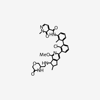 COc1nc(-c2cccc(-c3cccc(NC(=O)c4ccnn(C)c4=O)c3C)c2Cl)cc2c1C(NCC1COCC(=O)N1)C(C)C2